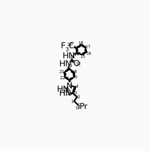 CC(C)CCC1=CN(c2ccc(NC(=O)Nc3ccccc3C(F)(F)F)cc2)NN1